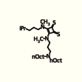 CCCCCCCCN(CCCCCCCC)CCCN(C)c1c(N(C)CCCC(C)C)c(=S)c1=S